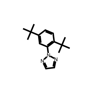 CC(C)(C)c1ccc(C(C)(C)C)c(-n2nccn2)c1